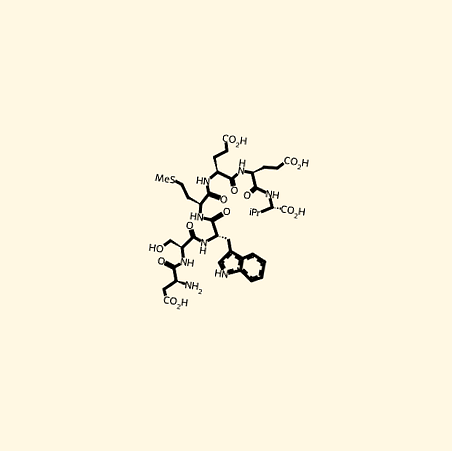 CSCC[C@H](NC(=O)[C@H](Cc1c[nH]c2ccccc12)NC(=O)[C@H](CO)NC(=O)[C@@H](N)CC(=O)O)C(=O)N[C@@H](CCC(=O)O)C(=O)N[C@@H](CCC(=O)O)C(=O)N[C@H](C(=O)O)C(C)C